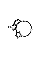 c1cc2[nH]nc3c2cc1OCCCOCCCn1ncc-3n1